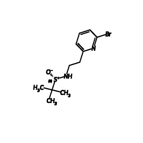 CC(C)(C)[S@+]([O-])NCCc1cccc(Br)n1